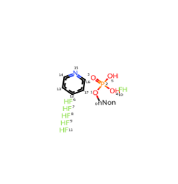 CCCCCCCCCOP(=O)(O)O.F.F.F.F.F.F.c1ccncc1